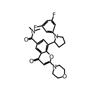 CN(C)C(=O)c1cc(C2CCCN2c2cc(F)cc(F)c2)c2oc(N3CCOCC3)cc(=O)c2c1